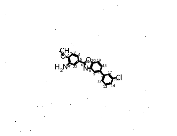 COc1ccc(-c2nc3cc(-c4cccc(Cl)c4)ccc3o2)cc1N